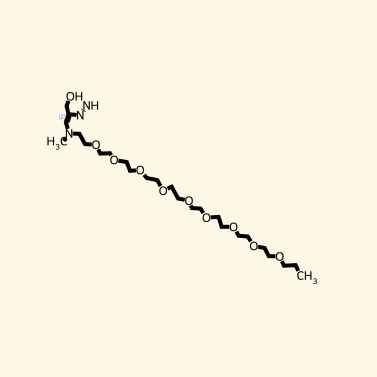 CCCOCCOCCOCCOCCOCCOCCOCCOCCOCCN(C)/C=C(/CO)N=N